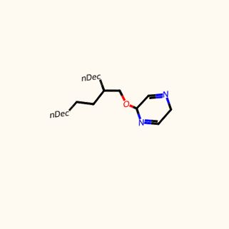 CCCCCCCCCCCCC(CCCCCCCCCC)COC1C=NCC=N1